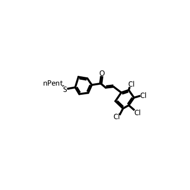 CCCCCSc1ccc(C(=O)C=Cc2cc(Cl)c(Cl)c(Cl)c2Cl)cc1